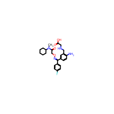 CN(C(=O)CON=C(c1ccc(F)cc1)c1ccc(N)c(CNCC(=O)O)c1)C1CCCCC1